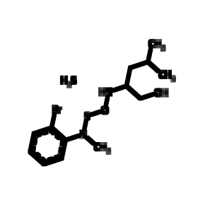 CC(C)CC(CO)NOSN(C)c1ccccc1Br.S